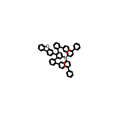 c1ccc(-c2ccc(N(c3ccc(-c4ccccc4)cc3)c3cc(-c4ccccc4-c4ccccc4)c(-c4ccc5c(c4)oc4ccccc45)c(-c4ccccc4-c4ccccc4)c3)cc2)cc1